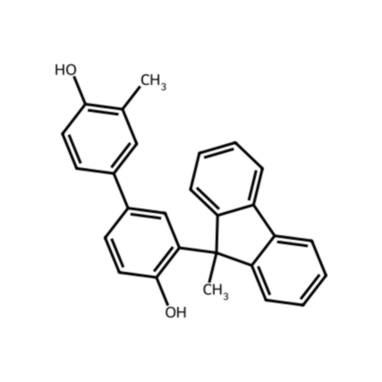 Cc1cc(-c2ccc(O)c(C3(C)c4ccccc4-c4ccccc43)c2)ccc1O